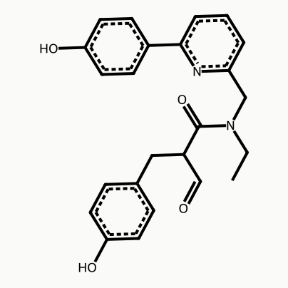 CCN(Cc1cccc(-c2ccc(O)cc2)n1)C(=O)C(C=O)Cc1ccc(O)cc1